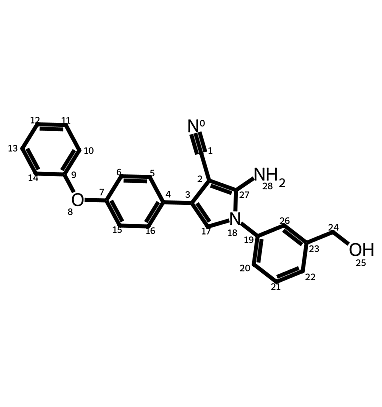 N#Cc1c(-c2ccc(Oc3ccccc3)cc2)cn(-c2cccc(CO)c2)c1N